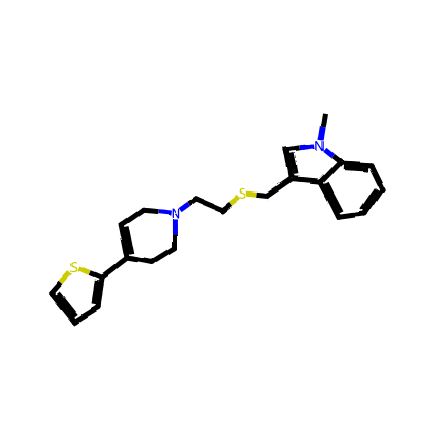 Cn1cc(CSCCN2CC=C(c3cccs3)CC2)c2ccccc21